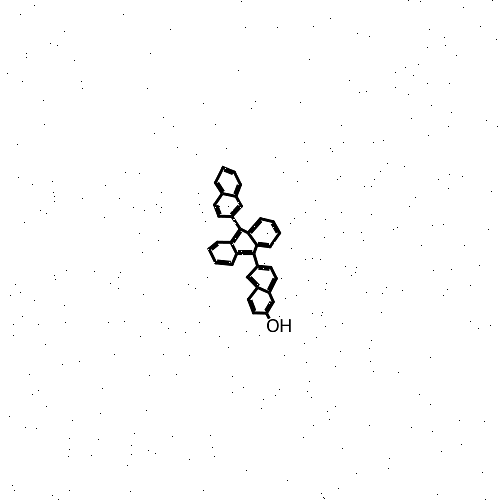 Oc1ccc2cc(-c3c4ccccc4c(-c4ccc5ccccc5c4)c4ccccc34)ccc2c1